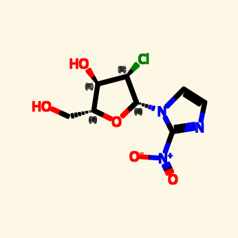 O=[N+]([O-])c1nccn1[C@@H]1O[C@H](CO)[C@@H](O)[C@H]1Cl